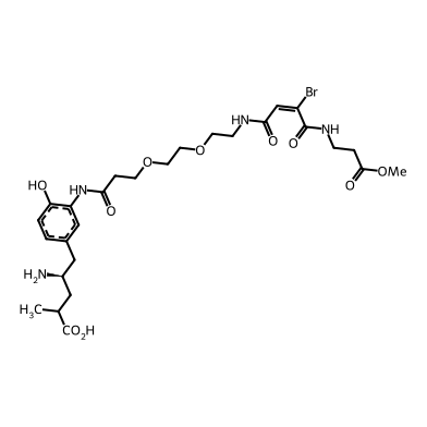 COC(=O)CCNC(=O)/C(Br)=C\C(=O)NCCOCCOCCC(=O)Nc1cc(C[C@H](N)CC(C)C(=O)O)ccc1O